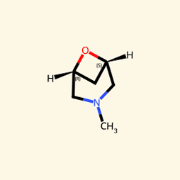 CN1C[C@H]2C[C@@H](C1)O2